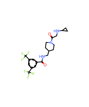 O=C(NCC1CCN(C(=O)CNC2CC2)CC1)c1cc(C(F)(F)F)cc(C(F)(F)F)c1